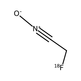 [O-][N+]#CC[18F]